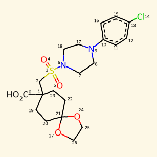 O=C(O)C1(CS(=O)(=O)N2CCN(c3ccc(Cl)cc3)CC2)CCC2(CC1)OCCO2